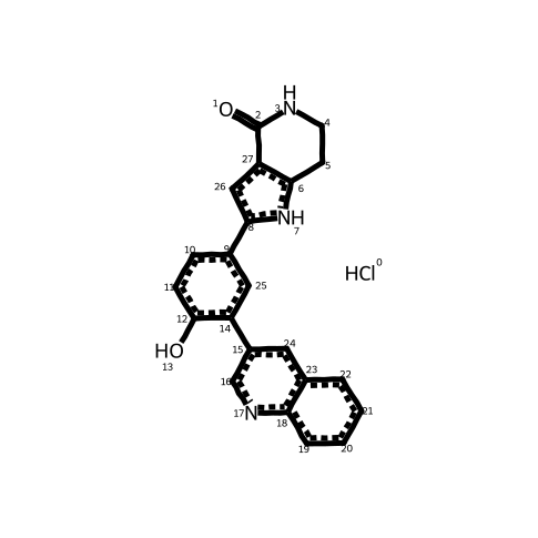 Cl.O=C1NCCc2[nH]c(-c3ccc(O)c(-c4cnc5ccccc5c4)c3)cc21